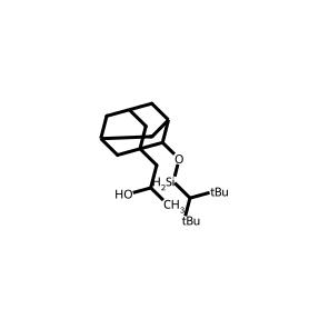 CC(O)CC12CC3CC(CC(C3)C1O[SiH2]C(C(C)(C)C)C(C)(C)C)C2